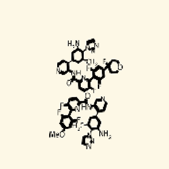 COc1cc(F)c(-c2nc(C(=O)Nc3cnccc3[C@H]3C[C@@H](N)[C@@H](n4ccnn4)[C@@H](C)C3)ccc2F)c(F)c1.C[C@H]1C[C@@H](c2ccncc2NC(=O)c2ccc(F)c(-c3c(F)cc(C4(F)CCOCC4)cc3F)n2)C[C@@H](N)[C@H]1n1ccnn1